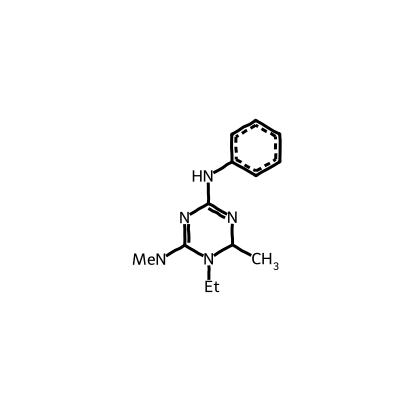 CCN1C(NC)=NC(Nc2ccccc2)=NC1C